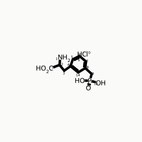 Cl.NC(Cc1cccc(CP(=O)(O)O)c1)C(=O)O